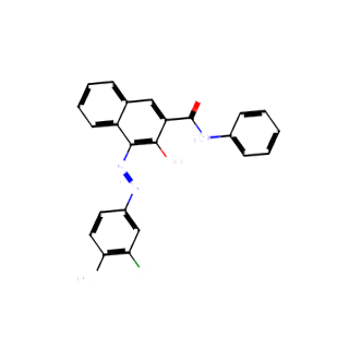 Cc1ccc(/N=N/c2c(O)c(C(=O)Nc3ccccc3)cc3ccccc23)cc1Cl